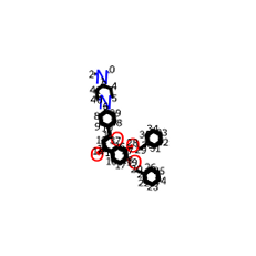 CN(C)C1CCN(c2ccc(-c3cc(=O)c4ccc(OCc5ccccc5)c(OCc5ccccc5)c4o3)cc2)CC1